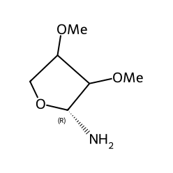 COC1CO[C@@H](N)C1OC